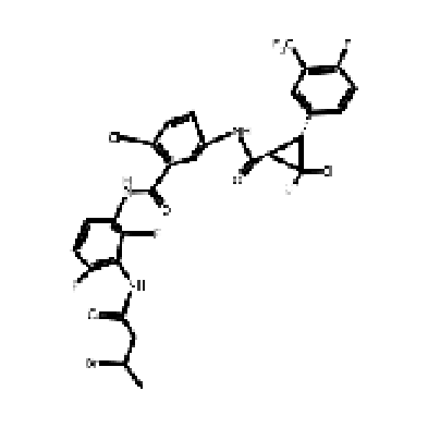 CC(Br)CC(=O)Nc1c(F)ccc(NC(=O)c2cc(NC(=O)[C@H]3[C@H](c4ccc(F)c(C(F)(F)F)c4)C3(Cl)Cl)ccc2Cl)c1F